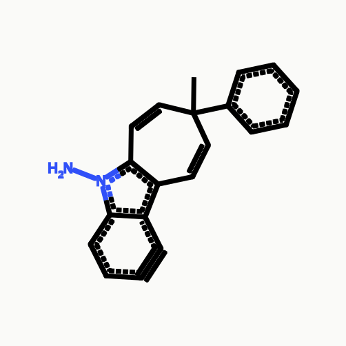 CC1(c2ccccc2)C=Cc2c(n(N)c3ccc#cc23)C=C1